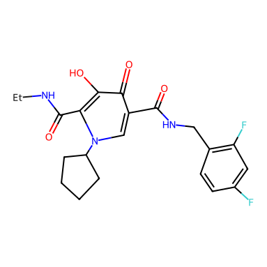 CCNC(=O)c1c(O)c(=O)c(C(=O)NCc2ccc(F)cc2F)cn1C1CCCC1